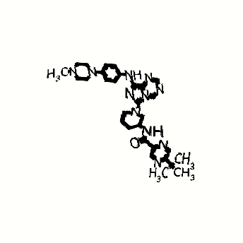 CN1CCN(c2ccc(Nc3nc(N4CCCC(NC(=O)c5cnc(C(C)(C)C)cn5)C4)n4cncnc34)cc2)CC1